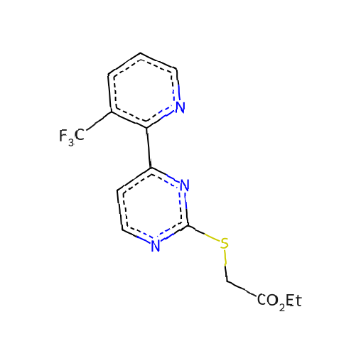 CCOC(=O)CSc1nccc(-c2ncccc2C(F)(F)F)n1